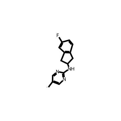 [CH2]c1cnc(NC2Cc3ccc(F)cc3C2)nc1